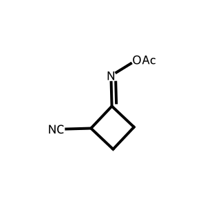 CC(=O)ON=C1CCC1C#N